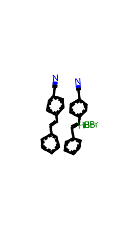 Br.Br.N#Cc1ccc(/C=C/c2ccccc2)cc1.N#Cc1ccc(/C=C/c2ccccc2)cc1